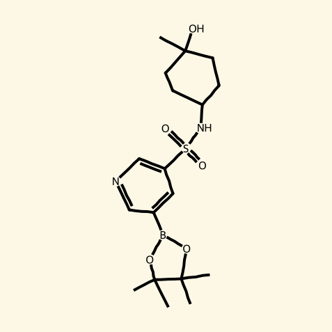 CC1(O)CCC(NS(=O)(=O)c2cncc(B3OC(C)(C)C(C)(C)O3)c2)CC1